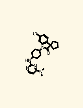 CN(C)c1ccnc(NC2CCC(NC(=O)C3(c4ccc(Cl)cc4)CCCC3)CC2)n1